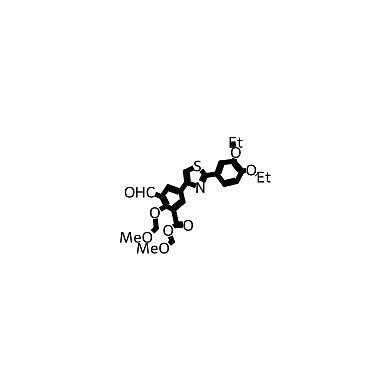 CCOc1ccc(-c2nc(-c3cc(C=O)c(OCOC)c(C(=O)OCOC)c3)cs2)cc1OCC